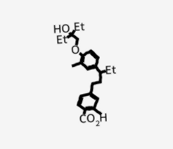 CCC(CCc1ccc(C(=O)O)c(C)c1)c1ccc(OCC(O)(CC)CC)c(C)c1